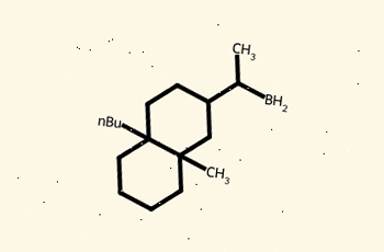 BC(C)C1CCC2(CCCC)CCCCC2(C)C1